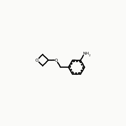 Nc1cccc(COC2COC2)c1